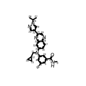 CNC(=O)c1cc(F)cc(N(CC2CC2)c2ccc3ncc(-c4cnn(C(C)C)c4)nc3c2)c1